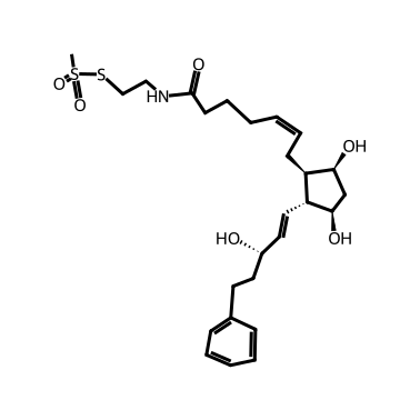 CS(=O)(=O)SCCNC(=O)CCC/C=C\C[C@@H]1[C@@H](/C=C/[C@@H](O)CCc2ccccc2)[C@H](O)C[C@@H]1O